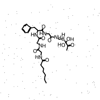 CCCCCCC(=O)NCC(=O)NCC(=O)NC(Cc1ccccc1)C(=O)NCC(=O)NCBC(O)(O)C(C)=O